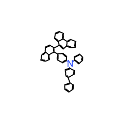 c1ccc(-c2ccc(N(c3ccccc3)c3ccc(-c4c(-c5cc6ccccc6c6ccccc56)ccc5ccccc45)cc3)cc2)cc1